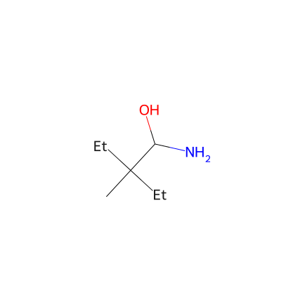 CCC(C)(CC)C(N)O